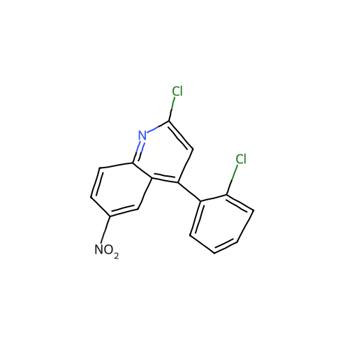 O=[N+]([O-])c1ccc2nc(Cl)cc(-c3ccccc3Cl)c2c1